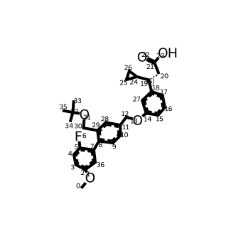 COc1ccc(F)c(-c2ccc(COc3cccc([C@@H](CC(=O)O)C4CC4)c3)cc2COC(C)(C)C)c1